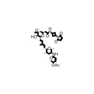 CC(=O)O[C@@H](C)/C=C\C(=O)N[C@@H]1C[C@H](C)[C@H](C/C=C(C)/C=C/[C@H]2O[C@H](CC(=O)NC3CC(N4C(=O)C=CC4=O)C3)C[C@@]3(CO3)[C@@H]2O)O[C@@H]1C